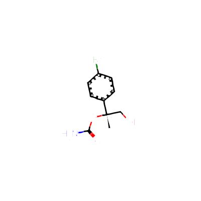 C[C@@](CO)(OC(N)=O)c1ccc(Br)cc1